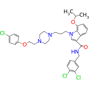 CC(C)Oc1cccc2c(C(=O)NCc3ccc(Cl)c(Cl)c3)cn(CCCN3CCN(CCOc4ccc(Cl)cc4)CC3)c12